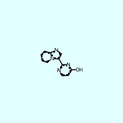 Oc1ccnc(-c2cnc3ccccn23)n1